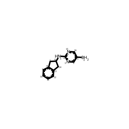 Bc1cnc(NC2Cc3ccccc3C2)nc1